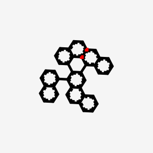 c1ccc2c(-c3cc4c(ccc5ccccc54)c(-c4cccc5ccccc45)c3-c3cccc4ccccc34)cccc2c1